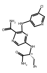 CC(C)C[C@@H](Nc1cnc(C(N)=O)c(Nc2cncc(Cl)c2)n1)C(N)=O